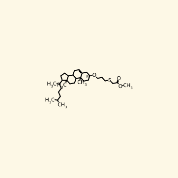 COC(=O)CSCCCO[C@H]1CC[C@@]2(C)C(=CCC3C4CCC([C@H](C)CCCC(C)C)[C@@]4(C)CCC32)C1